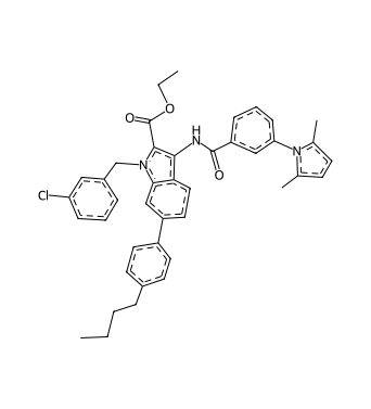 CCCCc1ccc(-c2ccc3c(NC(=O)c4cccc(-n5c(C)ccc5C)c4)c(C(=O)OCC)n(Cc4cccc(Cl)c4)c3c2)cc1